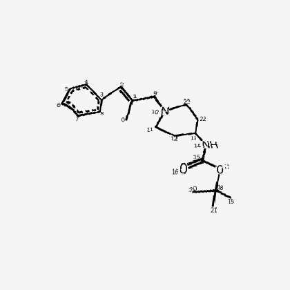 C/C(=C\c1ccccc1)CN1CCC(NC(=O)OC(C)(C)C)CC1